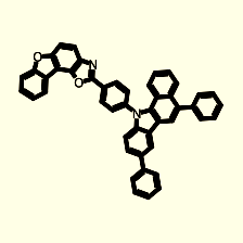 c1ccc(-c2ccc3c(c2)c2cc(-c4ccccc4)c4ccccc4c2n3-c2ccc(-c3nc4ccc5oc6ccccc6c5c4o3)cc2)cc1